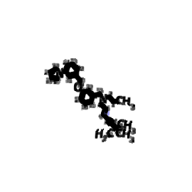 CCCN(C/C=C/C#CC(C)(C)C)Cc1cccc(OCc2cccc(-n3cccc3)c2)c1